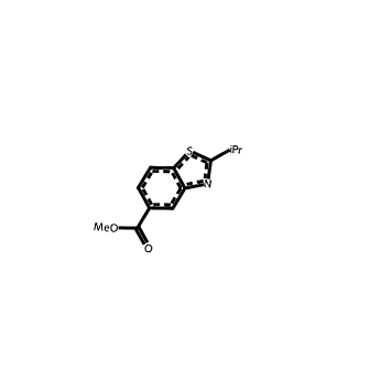 COC(=O)c1ccc2sc(C(C)C)nc2c1